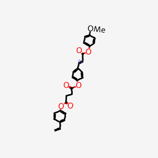 C=Cc1ccc(OC(=O)CCC(=O)Oc2ccc(/C=C/C(=O)Oc3ccc(OC)cc3)cc2)cc1